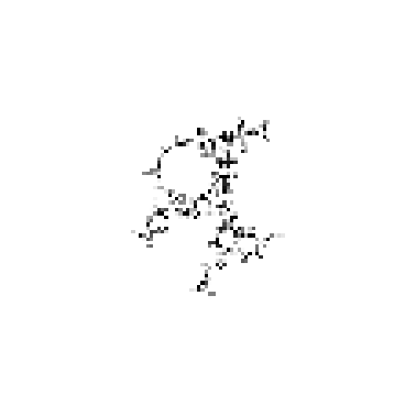 C[C@@H]1CC/C=C\[C@@H]2C[C@@]2(C(=O)NS(=O)(=O)C2CC2)NC(=O)[C@@H]2C[C@@H](Oc3ncc(OCC4CC4)c4ccc(F)cc34)CN2C(=O)[C@@H](NC(=O)OC(C)(C)C)[C@H](C)C1